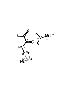 C=C(C)C(=O)NCCC.CN(C)C.Cl.Cl.N